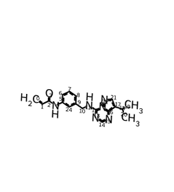 C=CC(=O)Nc1cccc(CNc2ncnc3c(C(C)C)cnn23)c1